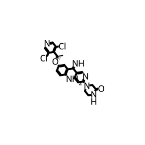 C[C@@H](Oc1ccc(N)c(C(=N)c2ccc(N3CCNC(=O)C3)nc2)c1)c1c(Cl)cncc1Cl